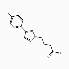 O=C(O)CCCn1cc(-c2ccc(F)cc2)cn1